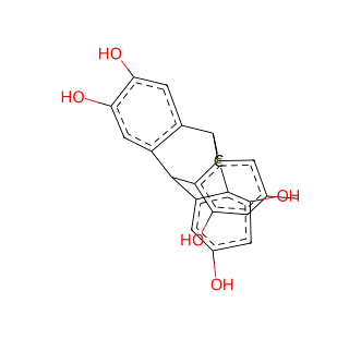 Cc1cc(O)c2c(c1)C1Cc3c(O)cc(O)cc3C2c2cc(O)c(O)cc21